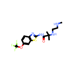 CNCCNC(C)(C)C(=O)Nc1nc2ccc(OC(F)(F)F)cc2s1